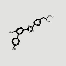 COc1ccc(-c2nc(-c3ccc(C[C@H](N)C(=O)O)cc3)no2)cc1-c1ccc(O)cc1